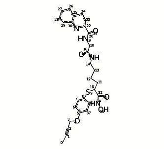 CC#CCOc1ccc(SC(CCCCNC(=O)CNC(=O)c2ccc3ccccc3n2)C(=O)NO)cc1